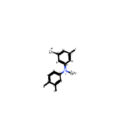 CCCN(C1=C=C=C(C)C(C)=C1)c1cc(C)cc(CC)c1